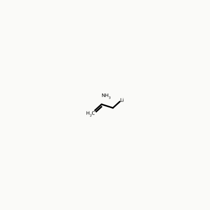 N.[Li][CH2]C=C